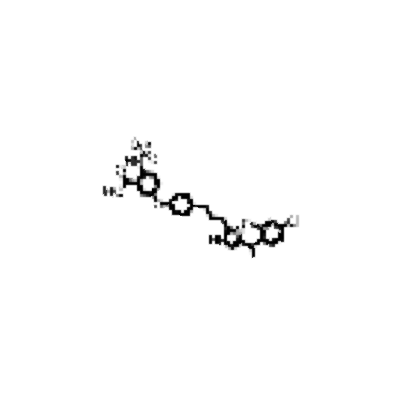 CC(c1c[nH]c(CCCc2ccc(Oc3ccc(NS(C)(=O)=O)c(C(=O)O)c3)cc2)n1)c1ccc(Cl)cc1Cl